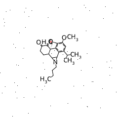 CCCCN1C2c3c(C(C)C)cc(OC)c4c3[C@]3(CC)C(O4)C(=O)CCC3C21